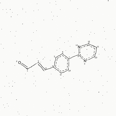 O=CC=Cc1ccc(-c2ncccn2)cc1